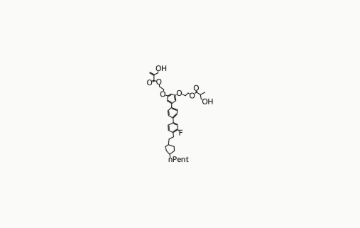 C=C(CO)C(=O)OCCOc1cc(OCCOC(=O)C(C)CO)cc(-c2ccc(-c3ccc(CCC4CCC(CCCCC)CC4)c(F)c3)cc2)c1